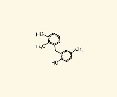 Cc1ccc(O)c(Cc2cccc(O)c2C)c1